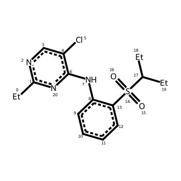 CCc1ncc(Cl)c(Nc2ccccc2S(=O)(=O)C(CC)CC)n1